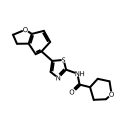 O=C(Nc1ncc(-c2ccc3c(c2)CCO3)s1)C1CCOCC1